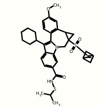 COc1ccc2c(c1)C1CC1(S(=O)(=O)N1C=C3CC1C3)Cn1c-2c(C2CCCCC2)c2ccc(C(=O)NSC(C)C)cc21